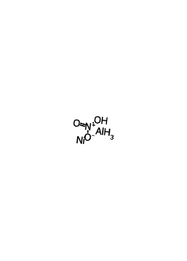 O=[N+]([O-])O.[AlH3].[Ni]